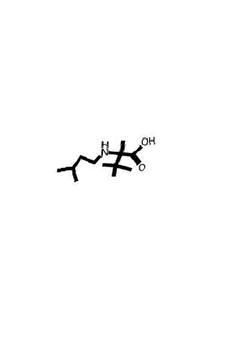 CC(C)CCNC(C)(C(=O)O)C(C)(C)C